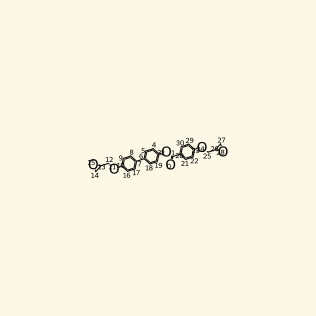 O=C(Oc1ccc(-c2ccc(OCC3CO3)cc2)cc1)c1ccc(OCC2CO2)cc1